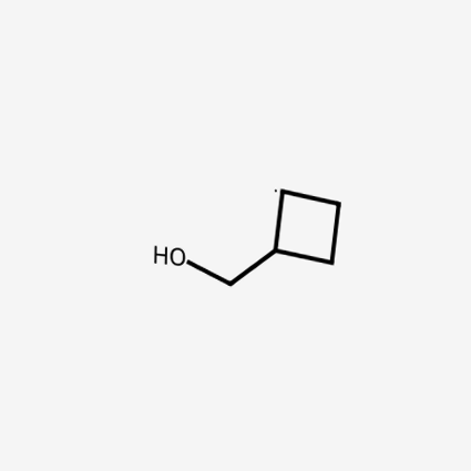 OCC1[CH]CC1